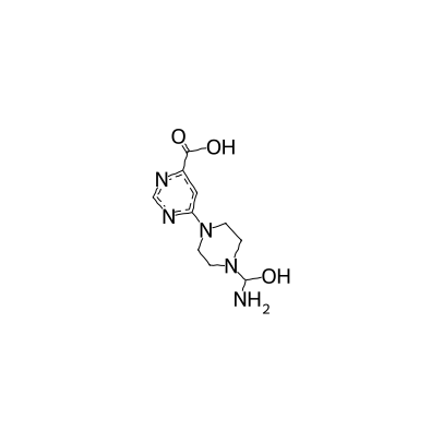 NC(O)N1CCN(c2cc(C(=O)O)ncn2)CC1